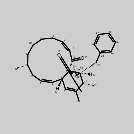 CC1=C[C@@H]2/C=C\C[C@H](C)CCCC/C=C\C(=O)[C@]23C(=O)N[C@@H](Cc2ccccc2)[C@@H]3[C@@H]1C